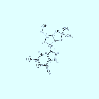 CC1(C)OC2C(O1)[C@@H](CO)O[C@H]2n1cnc2c(=O)[nH]c(N)nc21